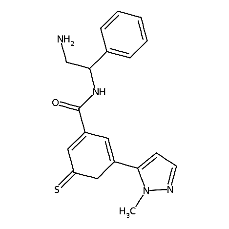 Cn1nccc1C1=CC(C(=O)NC(CN)c2ccccc2)=CC(=S)C1